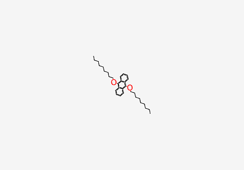 CCCCCCCCCOc1c2ccccc2c(OCCCCCCCCC)c2ccccc12